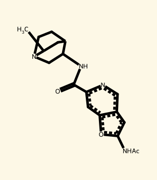 CC(=O)Nc1cc2cnc(C(=O)NC3CN4CCC3CC4C)cc2o1